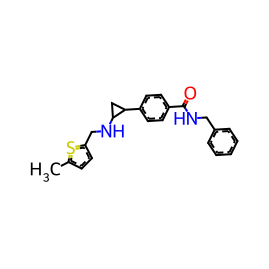 Cc1ccc(CNC2CC2c2ccc(C(=O)NCc3ccccc3)cc2)s1